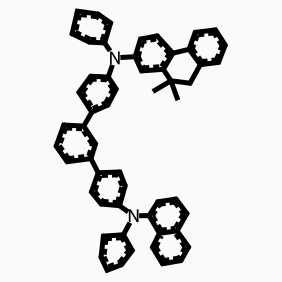 CC1(C)Cc2ccccc2-c2ccc(N(c3ccccc3)c3ccc(-c4cccc(-c5ccc(N(c6ccccc6)c6cccc7ccccc67)cc5)c4)cc3)cc21